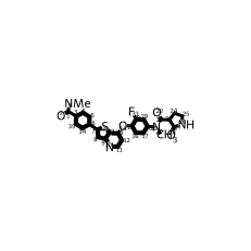 CNC(=O)c1ccc(-c2cc3nccc(Oc4ccc(N(C)C(=O)C5CCNC5=O)cc4F)c3s2)cc1